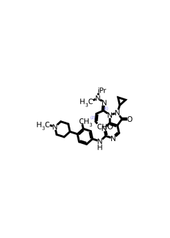 Cc1cc(Nc2ncc3c(=O)n(C4CC4)n(C(/C=C\C=O)=N/N(C)C(C)C)c3n2)ccc1C1CCN(C)CC1